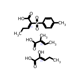 C/C=C(\C)C(=O)O.CC/C=C(\C(=O)O)S(=O)(=O)c1ccc(C)cc1.CC/C=C(\O)C(=O)O